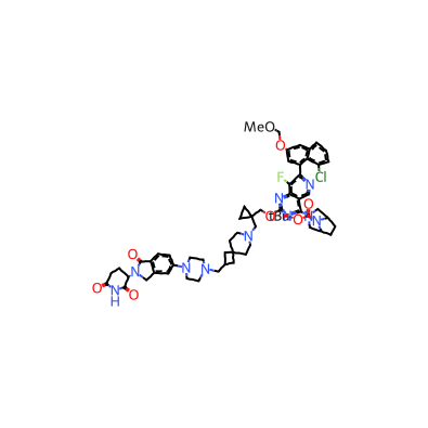 COCOc1cc(-c2ncc3c(N4CC5CCC(C4)N5C(=O)OC(C)(C)C)nc(OCC4(CN5CCC6(CC5)CC(CN5CCN(c7ccc8c(c7)CN([C@H]7CCC(=O)NC7=O)C8=O)CC5)C6)CC4)nc3c2F)c2c(Cl)cccc2c1